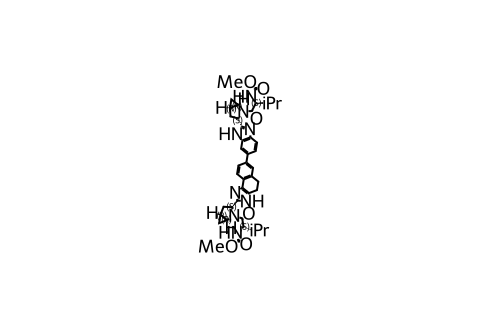 COC(=O)N[C@H](C(=O)N1[C@@H]2C[C@@H]2C[C@H]1c1nc2c([nH]1)CCc1cc(-c3ccc4nc([C@@H]5C[C@H]6C[C@H]6N5C(=O)[C@@H](NC(=O)OC)C(C)C)[nH]c4c3)ccc1-2)C(C)C